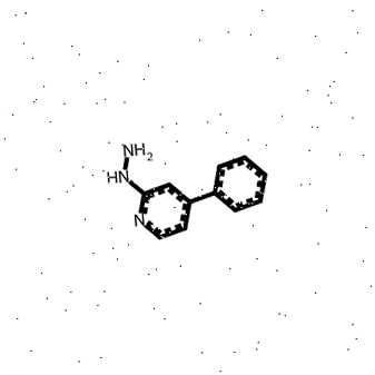 NNc1cc(-c2ccccc2)ccn1